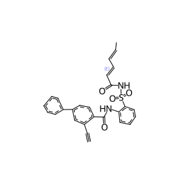 C#Cc1cc(-c2ccccc2)ccc1C(=O)Nc1ccccc1S(=O)(=O)NC(=O)/C=C/C=CC